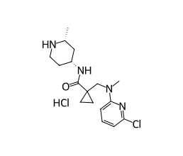 C[C@@H]1C[C@H](NC(=O)C2(CN(C)c3cccc(Cl)n3)CC2)CCN1.Cl